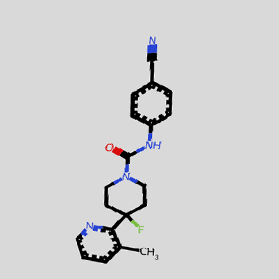 Cc1cccnc1C1(F)CCN(C(=O)Nc2ccc(C#N)cc2)CC1